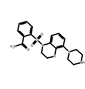 NC(=O)c1ccccc1S(=O)(=O)N1CCOc2c(N3CCNCC3)cccc21